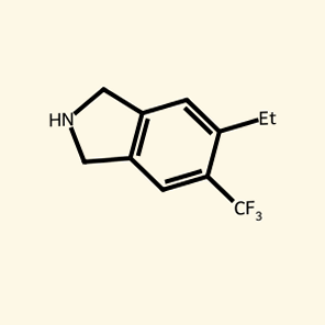 CCc1cc2c(cc1C(F)(F)F)CNC2